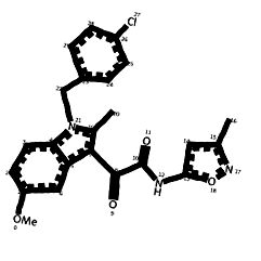 COc1ccc2c(c1)c(C(=O)C(=O)Nc1cc(C)no1)c(C)n2Cc1ccc(Cl)cc1